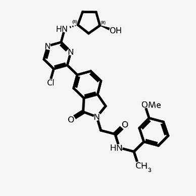 COc1cccc(C(C)NC(=O)CN2Cc3ccc(-c4nc(N[C@@H]5CC[C@@H](O)C5)ncc4Cl)cc3C2=O)c1